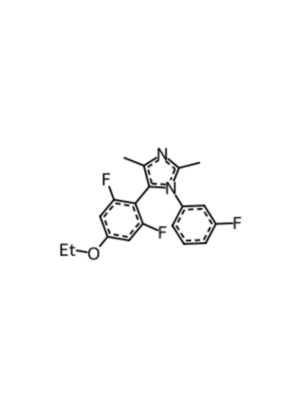 CCOc1cc(F)c(-c2c(C)nc(C)n2-c2cccc(F)c2)c(F)c1